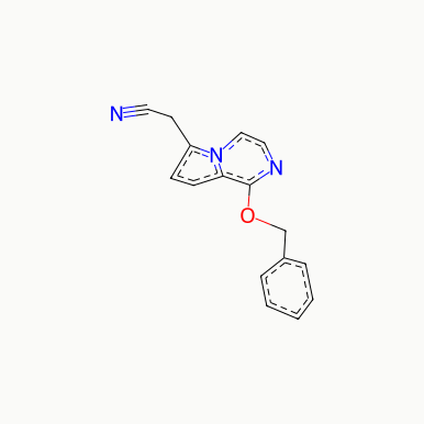 N#CCc1ccc2c(OCc3ccccc3)nccn12